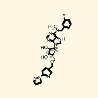 CN(Cc1cccc(F)c1)c1ncnc2c1NCN2[C@@H]1O[C@H](COCc2ccc(-n3cccn3)nc2)[C@@H](O)[C@H]1O